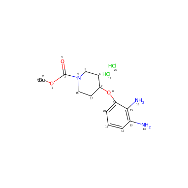 CC(C)(C)OC(=O)N1CCC(Oc2cccc(N)c2N)CC1.Cl.Cl